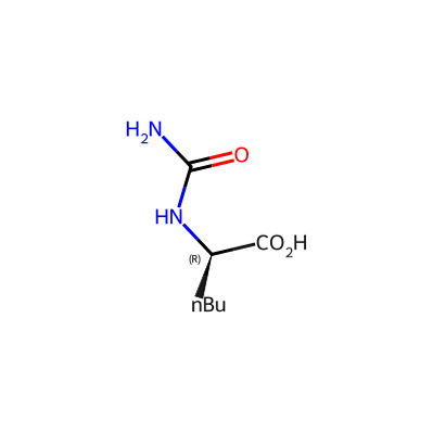 CCCC[C@@H](NC(N)=O)C(=O)O